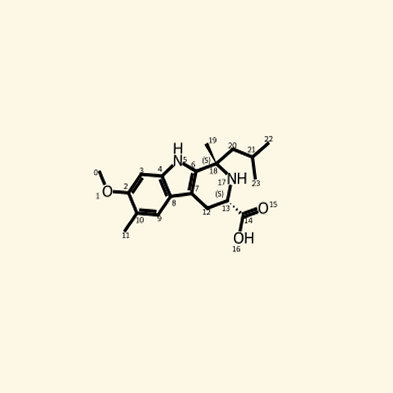 COc1cc2[nH]c3c(c2cc1C)C[C@@H](C(=O)O)N[C@@]3(C)CC(C)C